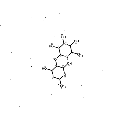 CC1CC(O)C(OC2OC(C)C(O)C(O)C2O)C(O)O1